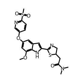 COc1cc(Oc2ccc(S(C)(=O)=O)nc2)cc2cc(C3=NCC(CC(=O)N(C)C)S3)[nH]c12